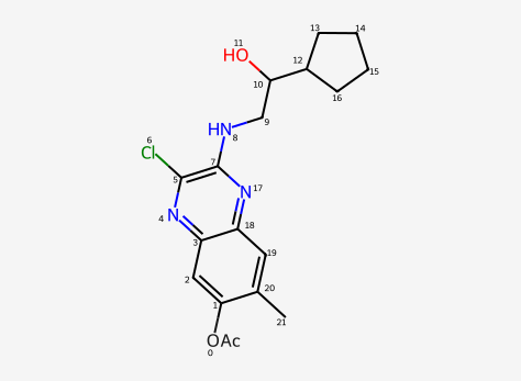 CC(=O)Oc1cc2nc(Cl)c(NCC(O)C3CCCC3)nc2cc1C